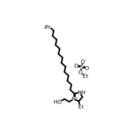 CCC1CNC(CCCCCCCCCCCCCCC(C)C)=[N+]1CCO.CCOS(=O)(=O)[O-]